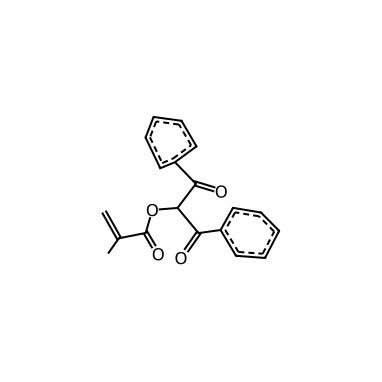 C=C(C)C(=O)OC(C(=O)c1ccccc1)C(=O)c1ccccc1